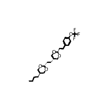 CCCC[C@H]1CO[C@H](CC[C@H]2CO[C@H](CCc3ccc(OC(F)(F)F)cc3)OC2)OC1